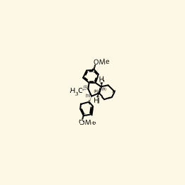 COC1=CCC([C@H]2[C@H]3CCCC[C@H]3c3cc(OC)ccc3[C@H]2C)C=C1